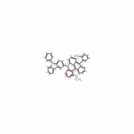 COc1ccccc1-c1c2ccccc2c(-c2ccccc2O)c2cccc(N(c3ccccc3)c3ccc4c(c3)c3ccccc3n4-c3ccccc3)c12